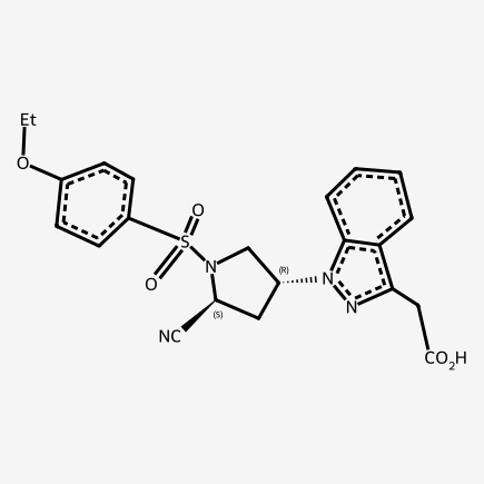 CCOc1ccc(S(=O)(=O)N2C[C@H](n3nc(CC(=O)O)c4ccccc43)C[C@H]2C#N)cc1